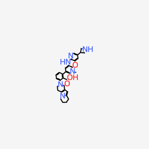 Cn1cc(-c2cccc(N3CCc4c(cc5n4CCCC5)C3=O)c2CO)cc(Nc2ccc(C3CNC3)cn2)c1=O